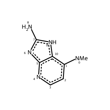 CNc1ccnc2nc(N)[nH]c12